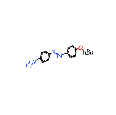 CCCCOc1ccc(N=Nc2ccc(N)cc2)cc1